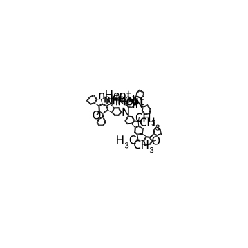 CCCCCCCC1(CCCCCCC)c2ccccc2-c2c1c1c(c3c2oc2ccccc23)-c2ccc(N(c3ccc4c(c3)C(C)(C)c3cc5c(cc3-4)C(C)(C)c3ccc4oc6ccccc6c4c3-5)c3ccc4c5ccccc5n(-c5ccccc5)c4c3)cc2C1(CCCCCCC)CCCCCCC